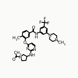 CC(=O)N1CCC(Nc2nccc(Oc3cc(C(=O)Nc4cc(N5CCN(C)CC5)cc(C(F)(F)F)c4)ccc3C)n2)C1